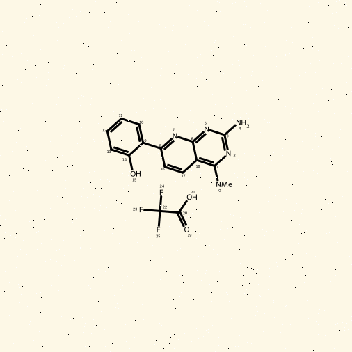 CNc1nc(N)nc2nc(-c3ccccc3O)ccc12.O=C(O)C(F)(F)F